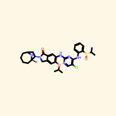 CC(C)Oc1cc2c(cc1Nc1ncc(Cl)c(Nc3ccccc3[S+]([O-])C(C)C)n1)C(=O)N([C@@H]1CC3CCCC[C@@H]1N3)C2